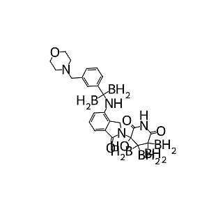 BC(B)(Nc1cccc2c1CN(C1(O)C(=O)NC(=O)C(B)(B)C1(B)B)C2=O)c1cccc(CN2CCOCC2)c1